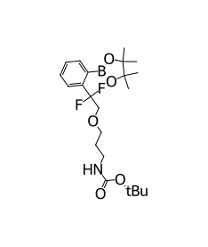 CC(C)(C)OC(=O)NCCCOCC(F)(F)c1ccccc1B1OC(C)(C)C(C)(C)O1